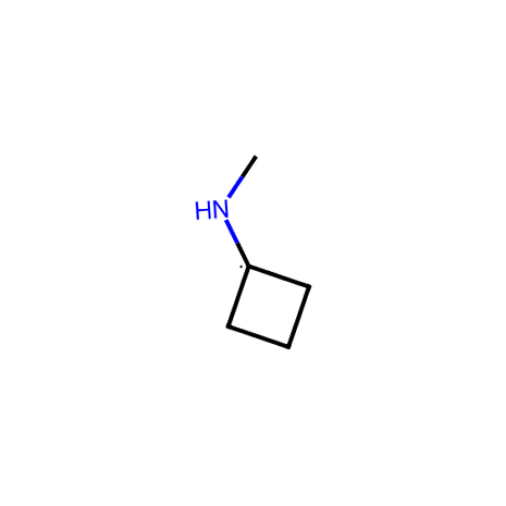 CN[C]1CCC1